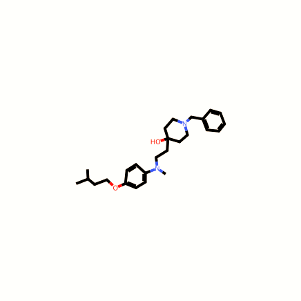 CC(C)CCOc1ccc(N(C)CCC2(O)CCN(Cc3ccccc3)CC2)cc1